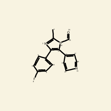 Cc1nc(-c2ccc(F)cc2)c(-c2ccncc2)n1C=O